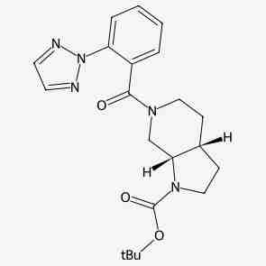 CC(C)(C)OC(=O)N1CC[C@H]2CCN(C(=O)c3ccccc3-n3nccn3)C[C@H]21